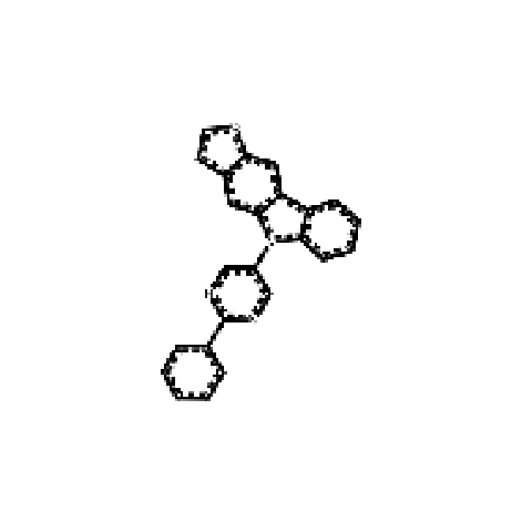 c1ccc(-c2ncc(-n3c4ccccc4c4cc5occc5cc43)cn2)cc1